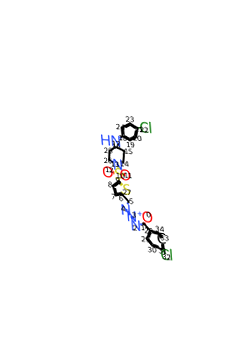 O=C(N=[N+]=NCc1ccc(S(=O)(=O)N2CCC(Nc3ccc(Cl)cc3)CC2)s1)c1ccc(Cl)cc1